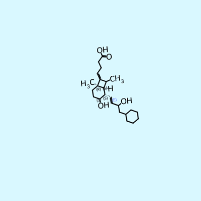 CC1C(=CCCC(=O)O)[C@]2(C)CC[C@H](O)[C@@H](/C=C/C(O)CC3CCCCC3)[C@H]12